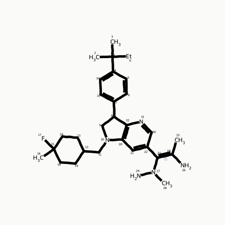 CCC(C)(C)c1ccc(C2CN(CC3CCC(C)(F)CC3)c3cc(/C(=C(\C)N)N(C)N)cnc32)cc1